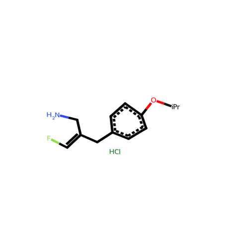 CC(C)Oc1ccc(CC(=CF)CN)cc1.Cl